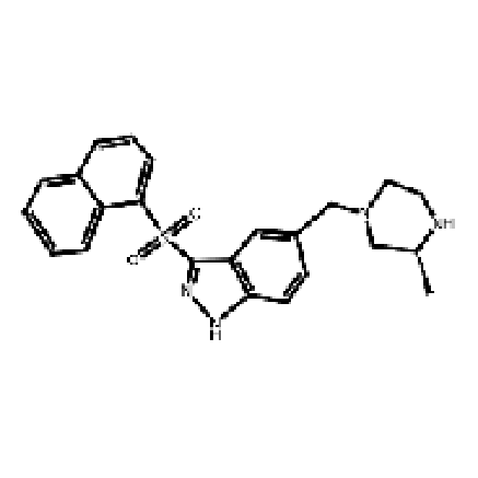 C[C@H]1CN(Cc2ccc3[nH]nc(S(=O)(=O)c4cccc5ccccc45)c3c2)CCN1